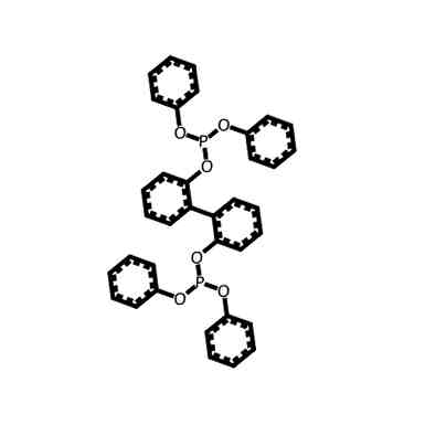 c1ccc(OP(Oc2ccccc2)Oc2ccccc2-c2ccccc2OP(Oc2ccccc2)Oc2ccccc2)cc1